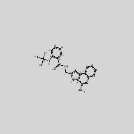 Nc1nc2ccccc2c2cc(CNC(=O)c3ccccc3OC(F)(F)F)nn12